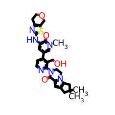 Cn1cc(-c2ccnc(N3CCn4c(cc5c4CC(C)(C)C5)C3=O)c2CO)cc(Nc2nc3c(s2)COCC3)c1=O